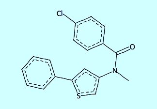 CN(C(=O)c1ccc(Cl)cc1)c1csc(-c2ccccc2)c1